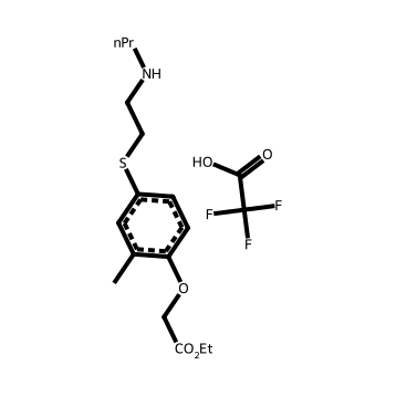 CCCNCCSc1ccc(OCC(=O)OCC)c(C)c1.O=C(O)C(F)(F)F